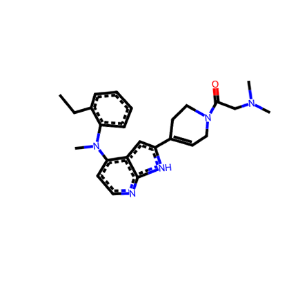 CCc1ccccc1N(C)c1ccnc2[nH]c(C3=CCN(C(=O)CN(C)C)CC3)cc12